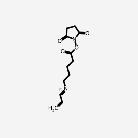 C=C/C=N/CCCCC(=O)ON1C(=O)CCC1=O